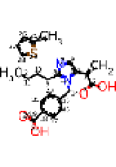 C=C(C(=O)O)c1cnc(CCCC)n1Cc1ccc(C(=O)O)cc1.Cc1cccs1